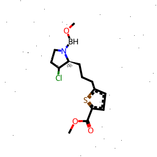 COBN1CCC(Cl)[C@@H]1CCCc1ccc(C(=O)OC)s1